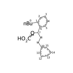 CCCCc1ccccc1C(CCc1ccccc1)OC(=O)O